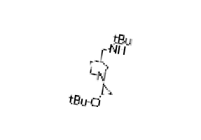 CC(C)(C)NCC1CCN(C2CC2OC(C)(C)C)C1